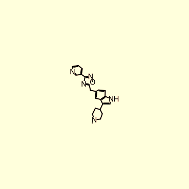 CN1CCC(c2c[nH]c3ccc(Cc4nc(-c5cccnc5)no4)cc23)CC1